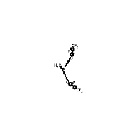 C=CCC(CCCCCCCCOc1ccc(-c2ccc(C(F)(F)F)cc2)c(F)c1)CCCCCCCCOc1ccc(-c2ccc(C(F)(F)F)cc2)c(F)c1